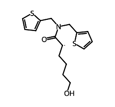 O=C([CH]CCCCO)N(Cc1cccs1)Cc1cccs1